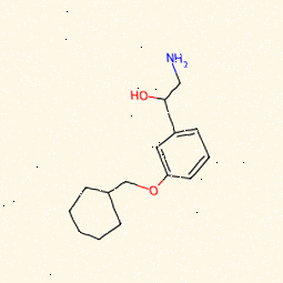 NCC(O)c1cccc(OCC2CCCCC2)c1